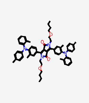 CCCCOCCN1C(=O)C2=C(c3ccc(N(c4ccc(C)cc4)c4ccccc4C)c(C)c3)N(CCOCCCC)C(=O)C2=C1c1ccc(N(c2ccc(C)cc2)c2ccccc2C)c(C)c1